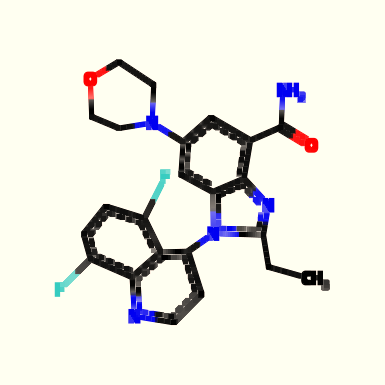 CCc1nc2c(C(N)=O)cc(N3CCOCC3)cc2n1-c1ccnc2c(F)ccc(F)c12